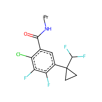 CC(C)NC(=O)c1cc(C2(C(F)F)CC2)c(F)c(F)c1Cl